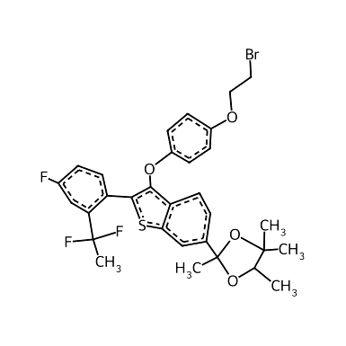 CC1OC(C)(c2ccc3c(Oc4ccc(OCCBr)cc4)c(-c4ccc(F)cc4C(C)(F)F)sc3c2)OC1(C)C